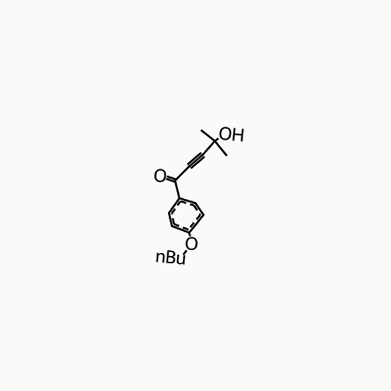 CCCCOc1ccc(C(=O)C#CC(C)(C)O)cc1